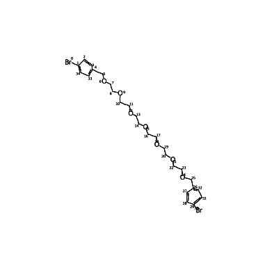 Brc1ccc(COCCOCCOCCOCCOCCOCCOCc2ccc(Br)cc2)cc1